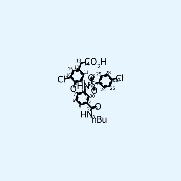 CCCCNC(=O)c1ccc(Oc2ccc(CC(=O)O)cc2Cl)c(NS(=O)(=O)c2ccc(Cl)cc2)c1